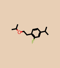 CC(C)OCCc1ccc(C(C)C)cc1F